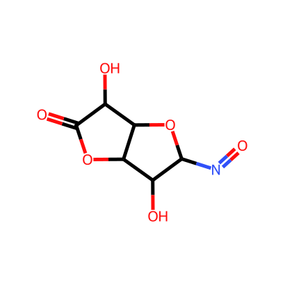 O=NC1OC2C(O)C(=O)OC2C1O